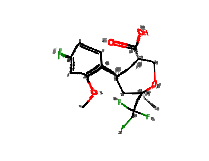 COc1cc(F)ccc1[C@@H]1C[C@](C)(C(F)(F)F)OC[C@H]1C(=O)O